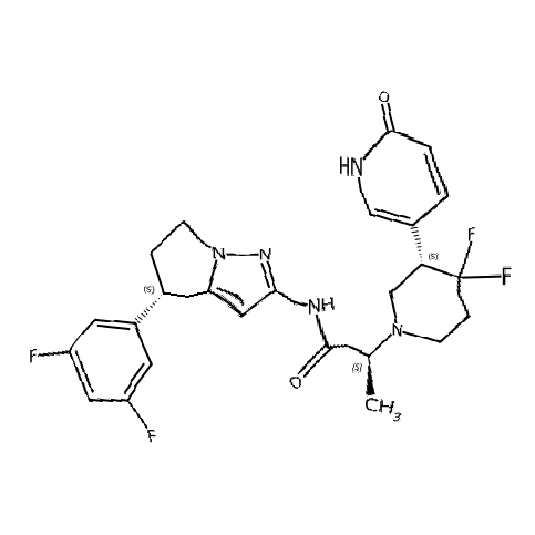 C[C@@H](C(=O)Nc1cc2n(n1)CC[C@H]2c1cc(F)cc(F)c1)N1CCC(F)(F)[C@@H](c2ccc(=O)[nH]c2)C1